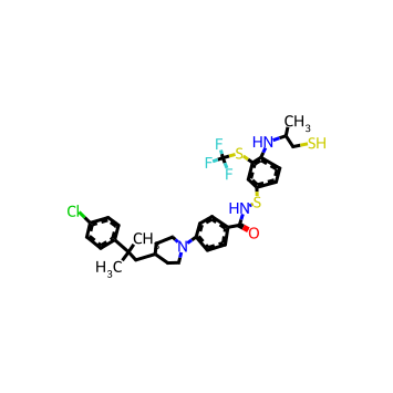 CC(CS)Nc1ccc(SNC(=O)c2ccc(N3CCC(CC(C)(C)c4ccc(Cl)cc4)CC3)cc2)cc1SC(F)(F)F